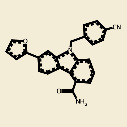 N#Cc1ccc(Cn2c3cc(-c4ccco4)c[c]c3c3c(C(N)=O)cccc32)cc1